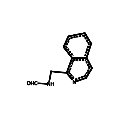 O=CNCc1nccc2ccccc12